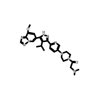 COc1cc(-c2[nH]nc(-c3ccc(N4CCN(C(=O)CN(C)C)CC4)cn3)c2C(C)C)cn2ncnc12